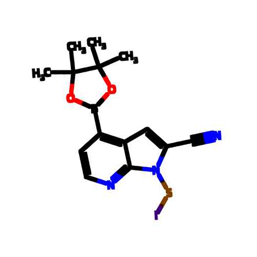 CC1(C)OB(c2ccnc3c2cc(C#N)n3SI)OC1(C)C